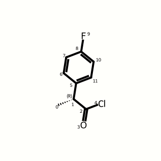 C[C@@H](C(=O)Cl)c1ccc(F)cc1